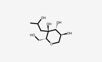 CC(O)C[C@]1(O)[C@H](O)[C@@H](O)CO[C@@H]1CO